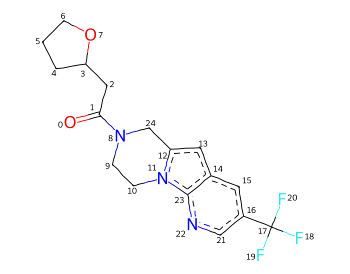 O=C(CC1CCCO1)N1CCn2c(cc3cc(C(F)(F)F)cnc32)C1